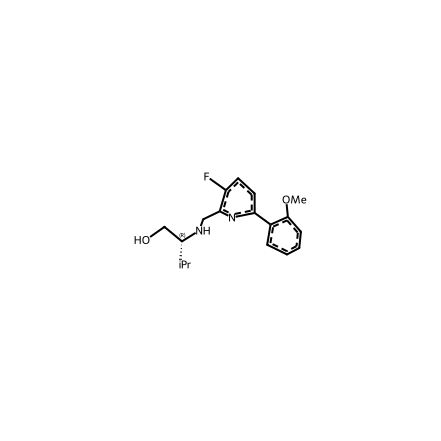 COc1ccccc1-c1ccc(F)c(CN[C@@H](CO)C(C)C)n1